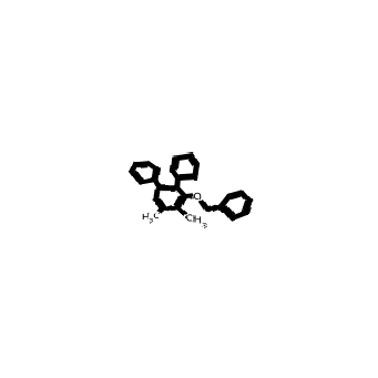 Cc1[c]c(-c2ccccc2)c(-c2ccccc2)c(OCc2ccccc2)c1C